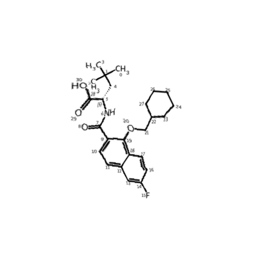 CC(C)(C)C[C@H](NC(=O)c1ccc2cc(F)ccc2c1OCC1CCCCC1)C(=O)O